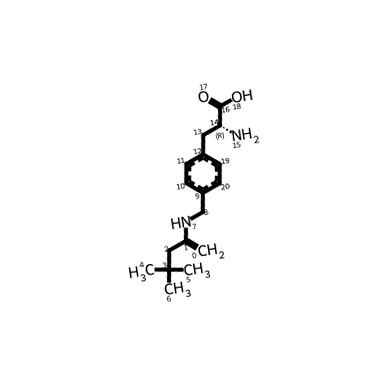 C=C(CC(C)(C)C)NCc1ccc(C[C@@H](N)C(=O)O)cc1